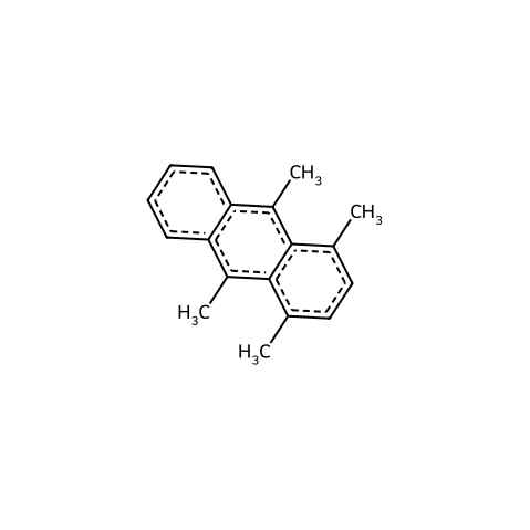 Cc1ccc(C)c2c(C)c3ccccc3c(C)c12